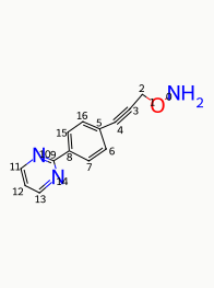 NOCC#Cc1ccc(-c2ncccn2)cc1